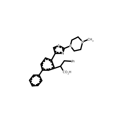 CC(C)CC(C(=O)O)c1cc(-c2ccccc2)ccc1-c1csc(N2CCN(C)CC2)n1